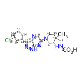 CC1(CNC(=O)O)CCN(c2cnc3c(-c4cccc(Cl)c4)n[nH]c3n2)CC1